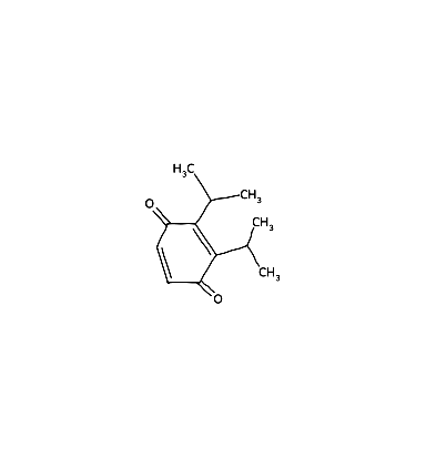 CC(C)C1=C(C(C)C)C(=O)C=CC1=O